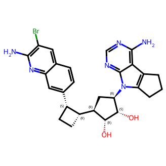 Nc1nc2cc([C@H]3CC[C@H]3[C@H]3C[C@@H](n4c5c(c6c(N)ncnc64)CCC5)[C@H](O)[C@@H]3O)ccc2cc1Br